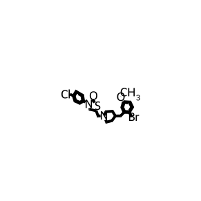 COc1ccc(Br)c(CC2CCN(CC3CN(c4ccc(Cl)cc4)C(=O)S3)CC2)c1